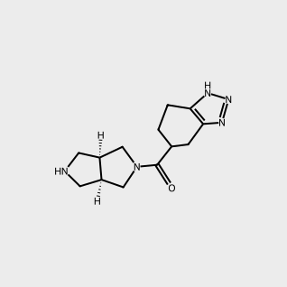 O=C(C1CCc2[nH]nnc2C1)N1C[C@H]2CNC[C@H]2C1